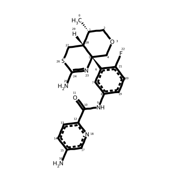 C[C@@H]1COC[C@]2(c3cc(NC(=O)c4ccc(N)cn4)ccc3F)N=C(N)SC[C@H]12